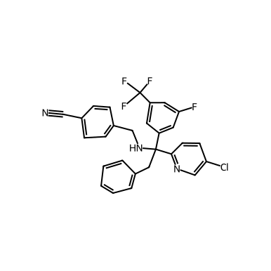 N#Cc1ccc(CNC(Cc2ccccc2)(c2cc(F)cc(C(F)(F)F)c2)c2ccc(Cl)cn2)cc1